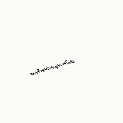 O=C(CCSCSCCC[S+]([O-])CCSCSCCSC(=O)CCSCSCCC(=O)OCCCO)OCCCO